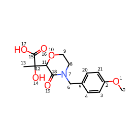 COc1ccc(CN2CCOC(C(C)(O)C(=O)O)C2=O)cc1